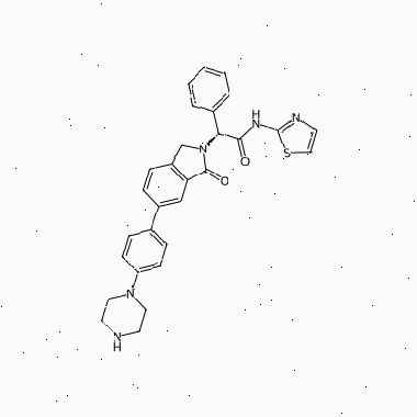 O=C(Nc1nccs1)[C@H](c1ccccc1)N1Cc2ccc(-c3ccc(N4CCNCC4)cc3)cc2C1=O